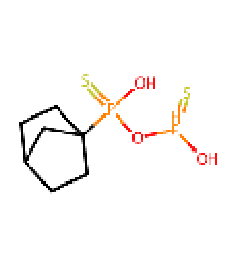 O[PH](=S)OP(O)(=S)C12CCC(CC1)C2